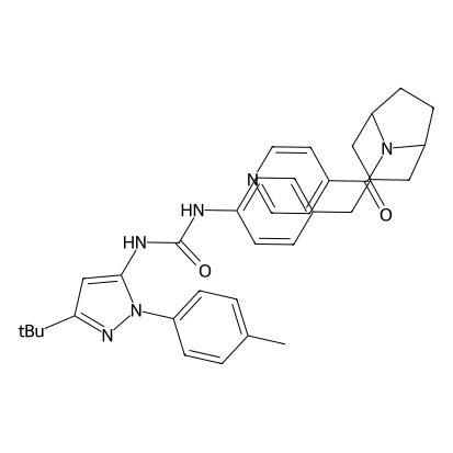 Cc1ccc(-n2nc(C(C)(C)C)cc2NC(=O)Nc2ccc(CC3CC4CCC(C3)N4C(=O)c3ccncc3)cc2)cc1